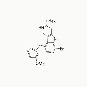 CCCCCCC1Cc2[nH]c3c(Br)ccc(Cc4cccc(OC)c4)c3c2CN1